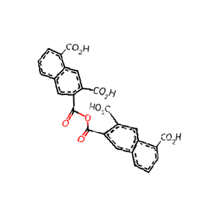 O=C(O)c1cc2c(C(=O)O)cccc2cc1C(=O)OC(=O)c1cc2cccc(C(=O)O)c2cc1C(=O)O